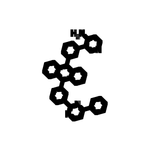 Nc1ccncc1-c1cccc(-c2c3ccccc3c(-c3cccc(-c4nccc(-c5ccccc5)n4)c3)c3ccccc23)c1